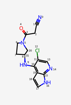 N#CCC(=O)N1CC[C@H](Nc2c(Cl)cnc3[nH]ccc23)C1